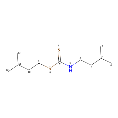 CC(C)CCNC(=S)SCCC(C)C